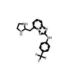 FC(F)(F)c1ccc(Nc2nc3cccc(CC4NCCN4)n3n2)cc1